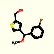 COC(c1cccc(Br)c1)c1csc(CO)c1